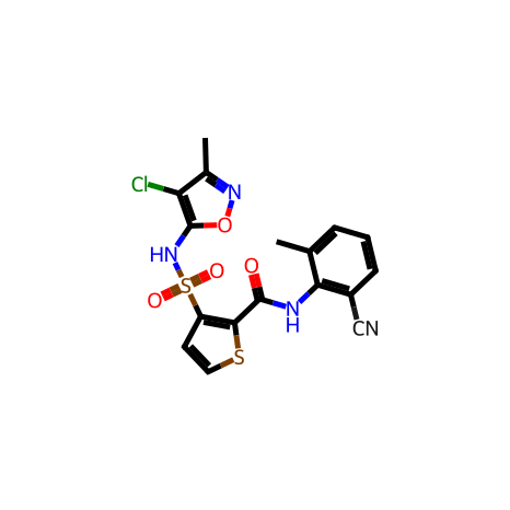 Cc1cccc(C#N)c1NC(=O)c1sccc1S(=O)(=O)Nc1onc(C)c1Cl